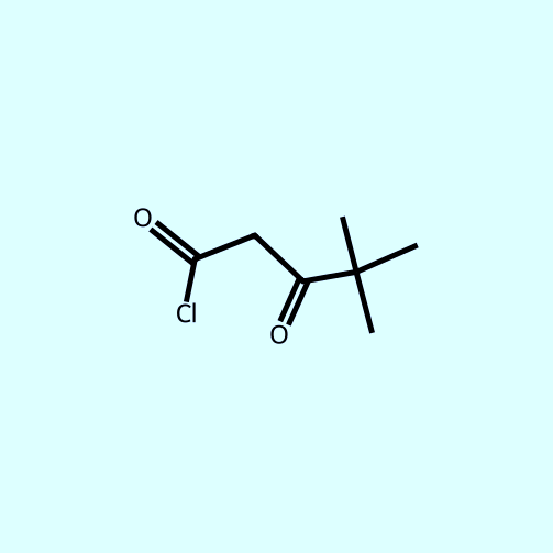 CC(C)(C)C(=O)CC(=O)Cl